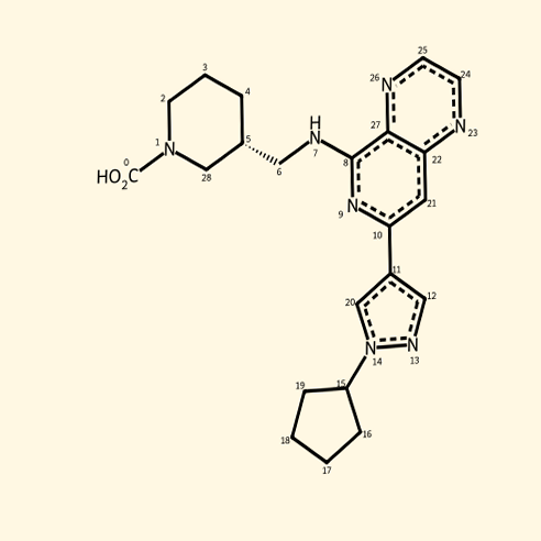 O=C(O)N1CCC[C@H](CNc2nc(-c3cnn(C4CCCC4)c3)cc3nccnc23)C1